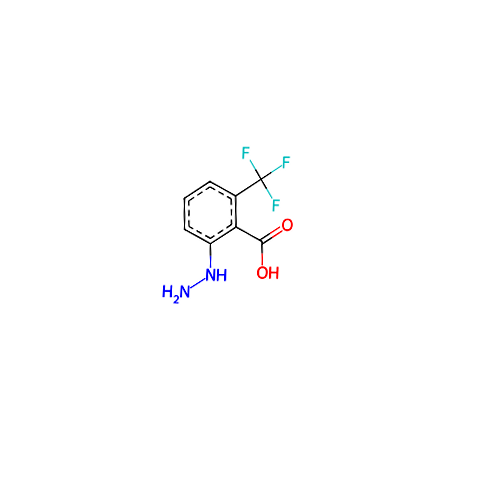 NNc1cccc(C(F)(F)F)c1C(=O)O